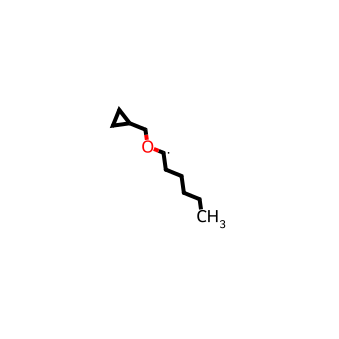 CCCCC[CH]OCC1CC1